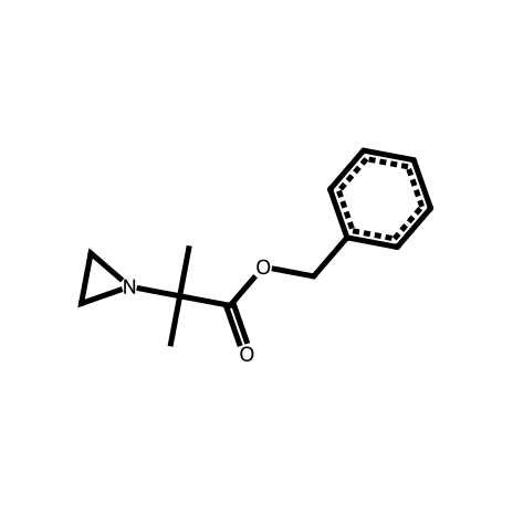 CC(C)(C(=O)OCc1ccccc1)N1CC1